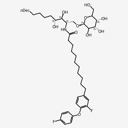 CCCCCCCCCCCCCC[C@@H](O)[C@@H](O)[C@H](CO[C@H]1OC(CO)[C@H](O)[C@H](O)C1O)NC(=O)CCCCCCCCCCc1ccc(Oc2ccc(F)cc2)c(F)c1